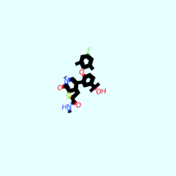 CNC(=O)c1cc2c(-c3cc(C(C)(C)O)ccc3Oc3c(C)cc(F)cc3C)cn(C)c(=O)c2s1